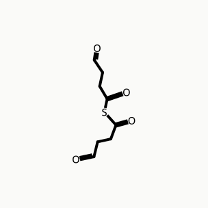 O=CCCC(=O)SC(=O)CCC=O